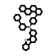 c1ccc(-c2cccc(N(c3ccc(-c4cccc5ccc6c7ccccc7ccc6c45)cc3)c3ccc4ccc5c6ccccc6oc5c4c3)c2)cc1